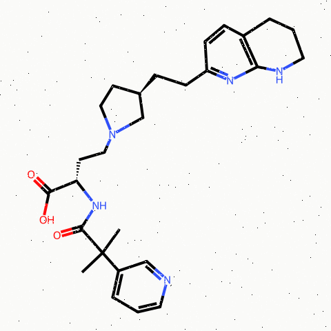 CC(C)(C(=O)N[C@@H](CCN1CC[C@@H](CCc2ccc3c(n2)NCCC3)C1)C(=O)O)c1cccnc1